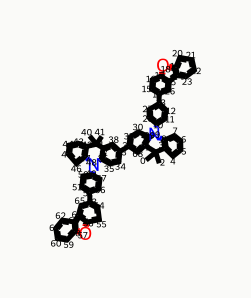 CC1(C)c2ccccc2N(c2ccc(-c3ccc4oc5ccccc5c4c3)cc2)c2ccc(-c3ccc4c(c3)C(C)(C)c3ccccc3N4c3ccc(-c4ccc5oc6ccccc6c5c4)cc3)cc21